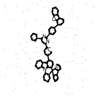 c1ccc(-c2cc(-c3ccc(-c4ccc5c6c4c4ccccc4n6-c4ccccc4C54c5ccccc5-c5ccccc54)cc3)nc(-c3ccc(-c4cccc5c4oc4ccccc45)cc3)n2)cc1